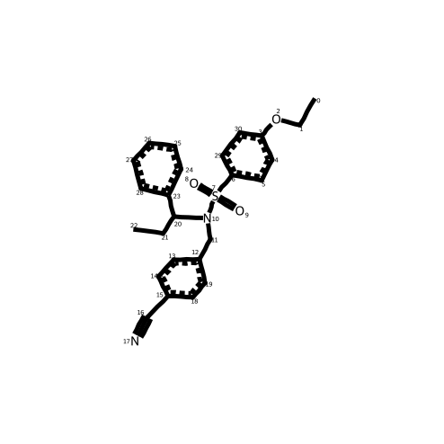 CCOc1ccc(S(=O)(=O)N(Cc2ccc(C#N)cc2)C(CC)c2ccccc2)cc1